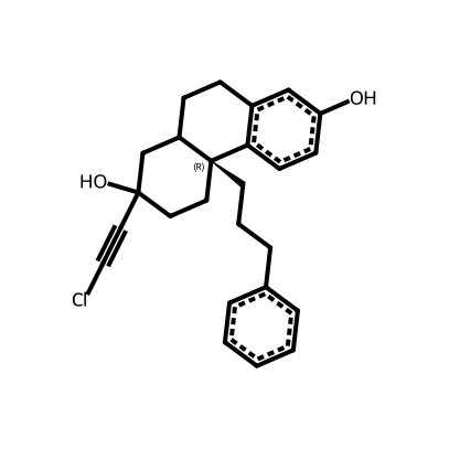 Oc1ccc2c(c1)CCC1CC(O)(C#CCl)CC[C@@]21CCCc1ccccc1